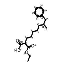 CCOC(=O)C(CCCCCC(C)Cc1ccccc1)C(=O)O